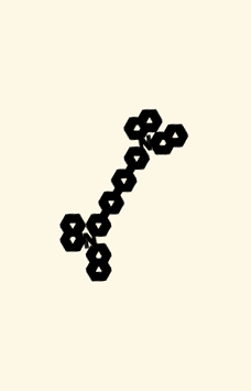 c1ccc2cc(N(c3ccc(-c4ccc(-c5ccc(-c6ccc(N(c7ccc8ccccc8c7)c7cccc8ccccc78)cc6)cc5)cc4)cc3)c3cccc4ccccc34)ccc2c1